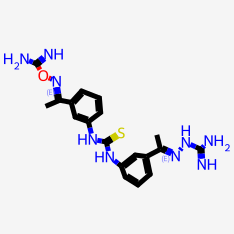 C/C(=N\NC(=N)N)c1cccc(NC(=S)Nc2cccc(/C(C)=N/OC(=N)N)c2)c1